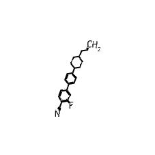 C=CCC1CCC(c2ccc(-c3ccc(C#N)c(F)c3)cc2)CC1